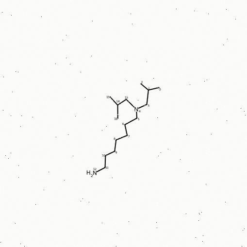 CC(C)CN(CCCCCCCN)CC(C)C